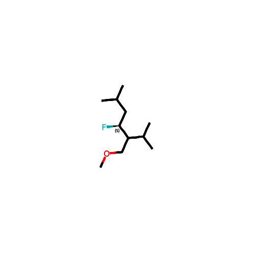 COCC(C(C)C)[C@@H](F)CC(C)C